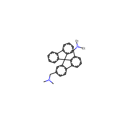 CCN(CC)Cc1cccc2c1C1(c3ccccc3-c3ccccc31)c1cc(CN(C)C)ccc1-2